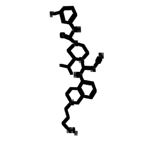 CC(C)C1CN(C(=O)Nc2cccc(F)c2)CCN1/C(=N\C#N)Nc1cccc2c1CCN(CCCN)C2